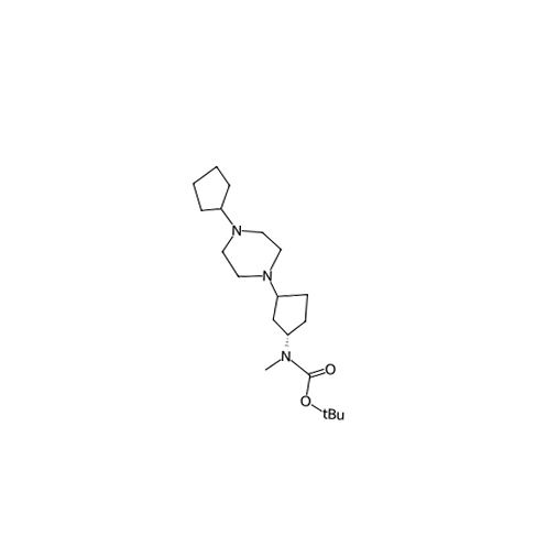 CN(C(=O)OC(C)(C)C)[C@H]1CCC(N2CCN(C3CCCC3)CC2)C1